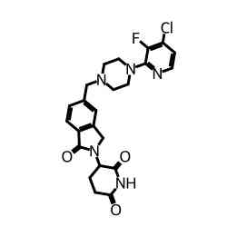 O=C1CCC(N2Cc3cc(CN4CCN(c5nccc(Cl)c5F)CC4)ccc3C2=O)C(=O)N1